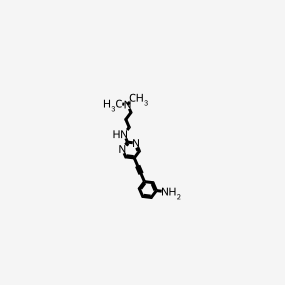 CN(C)CCCNc1ncc(C#Cc2cccc(N)c2)cn1